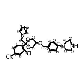 Clc1ccc(C2(Cn3ccnc3)OCC(OCc3ccc(N4CCNCC4)cc3)CO2)c(Cl)c1